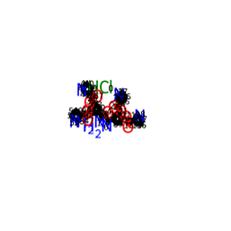 Cl.NC(C(=O)C(N)c1ccc(OC(=O)c2cccnc2)c(OC(=O)c2cccnc2)c1)c1ccc(OC(=O)c2cccnc2)c(OC(=O)c2cccnc2)c1